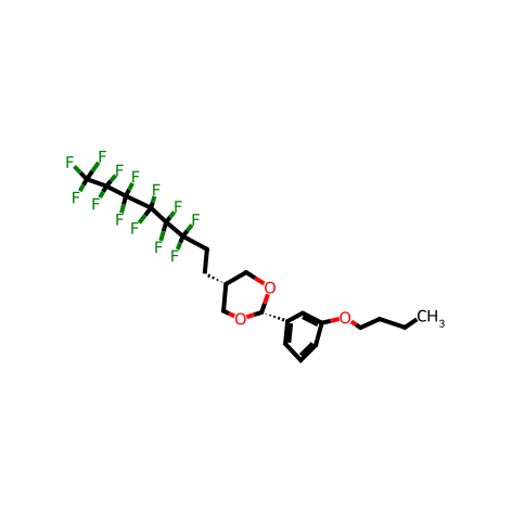 CCCCOc1cccc([C@H]2OC[C@@H](CCC(F)(F)C(F)(F)C(F)(F)C(F)(F)C(F)(F)C(F)(F)F)CO2)c1